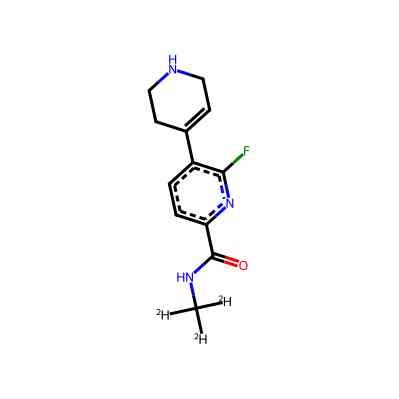 [2H]C([2H])([2H])NC(=O)c1ccc(C2=CCNCC2)c(F)n1